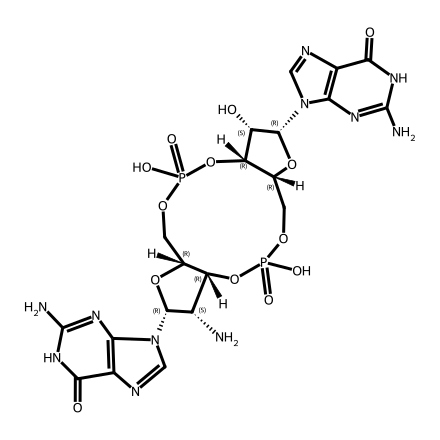 Nc1nc2c(ncn2[C@@H]2O[C@@H]3COP(=O)(O)O[C@@H]4[C@H](O)[C@H](n5cnc6c(=O)[nH]c(N)nc65)O[C@@H]4COP(=O)(O)O[C@@H]3[C@@H]2N)c(=O)[nH]1